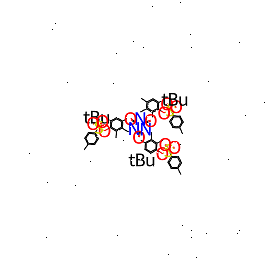 Cc1ccc(S(=O)(=O)Oc2c(C(C)(C)C)cc(C)c(Cn3c(=O)n(Cc4c(C)cc(C(C)(C)C)c(OS(=O)(=O)c5ccc(C)cc5)c4C)c(=O)n(Cc4c(C)cc(C(C)(C)C)c(OS(=O)(=O)c5ccc(C)cc5)c4C)c3=O)c2C)cc1